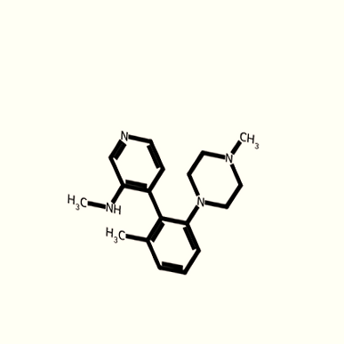 CNc1cnccc1-c1c(C)cccc1N1CCN(C)CC1